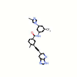 Cc1cn(-c2cc(NC(=O)c3ccc(C)c(C#Cc4cnc5[nH]cnc5c4)c3)cc(C(F)(F)F)c2)cn1